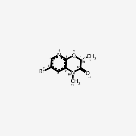 C[C@H]1Oc2ncc(Br)cc2N(C)C1=O